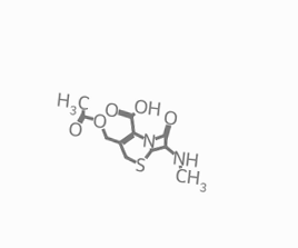 CNC1C(=O)N2C(C(=O)O)=C(COC(C)=O)CSC12